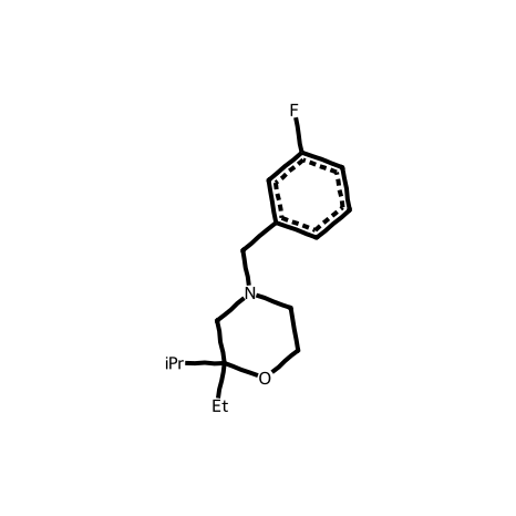 CCC1(C(C)C)CN(Cc2cccc(F)c2)CCO1